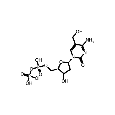 Nc1nc(=O)n([C@H]2CC(O)[C@@H](COP(=O)(O)OP(=O)(O)O)O2)cc1CO